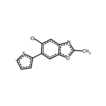 Cc1nc2cc(Cl)c(-c3cc[c]s3)cc2o1